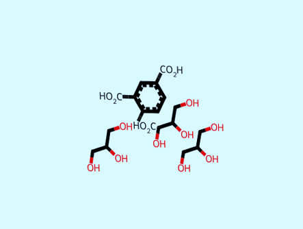 O=C(O)c1ccc(C(=O)O)c(C(=O)O)c1.OCC(O)CO.OCC(O)CO.OCC(O)CO